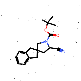 CC(C)(C)OC(=O)N1CC2(Cc3ccccc3C2)CC1C#N